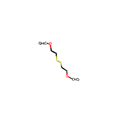 O=COCCSSCCOC=O